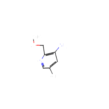 Nc1cc(C(F)(F)F)cnc1COC=O